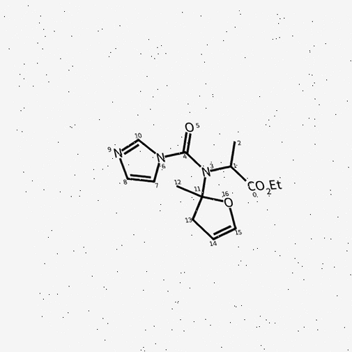 CCOC(=O)C(C)N(C(=O)n1ccnc1)C1(C)CC=CO1